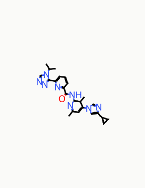 CC1=NC(NC(=O)c2cccc(-c3nncn3C(C)C)n2)C(C)C(n2cnc(C3CC3)c2)=C1